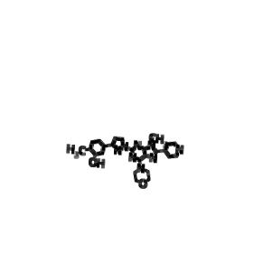 Cc1ccc(-c2ccn(-c3nc(N4CCOCC4)c4nc(-c5ccncc5)n(C)c4n3)n2)cc1O